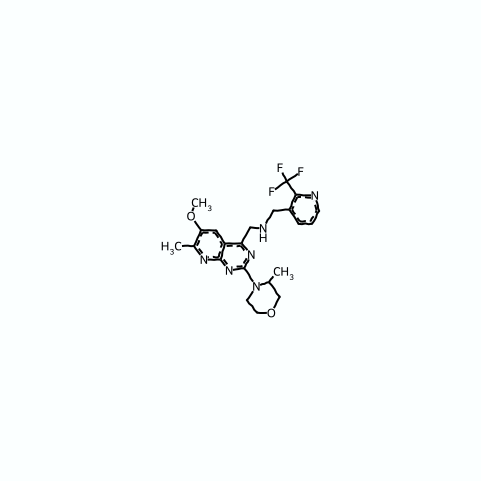 COc1cc2c(CNCc3cccnc3C(F)(F)F)nc(N3CCOCC3C)nc2nc1C